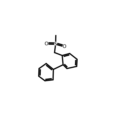 CS(=O)(=O)Cc1ccccc1-c1ccccc1